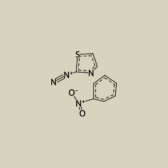 N#[N+]c1nccs1.O=[N+]([O-])c1ccccc1